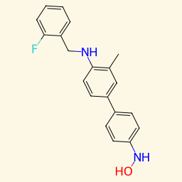 Cc1cc(-c2ccc(NO)cc2)ccc1NCc1ccccc1F